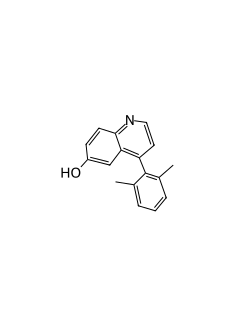 Cc1cccc(C)c1-c1ccnc2ccc(O)cc12